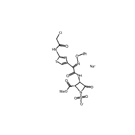 COC(=O)[C@H]1[C@@H](NC(=O)/C(=N/OC(C)C)c2csc(NC(=O)CCl)n2)C(=O)N1S(=O)(=O)[O-].[Na+]